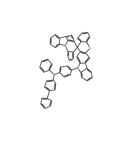 c1ccc(-c2ccc(N(c3ccccc3)c3ccc(-n4c5ccccc5c5cc6c(cc54)C4(c5ccccc5S6)c5ccccc5-n5c6ccccc6c6cccc4c65)cc3)cc2)cc1